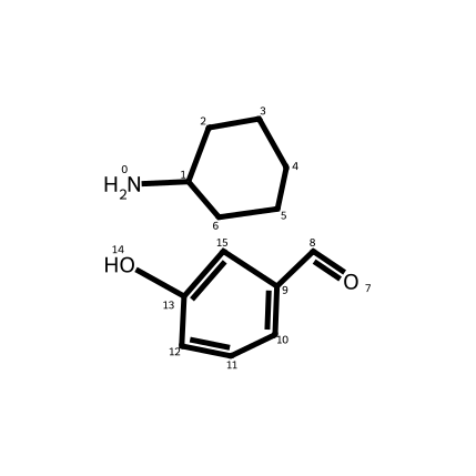 NC1CCCCC1.O=Cc1cccc(O)c1